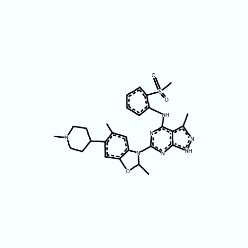 Cc1cc2c(cc1C1CCN(C)CC1)OC(C)N2c1nc(Nc2ccccc2S(C)(=O)=O)c2c(C)n[nH]c2n1